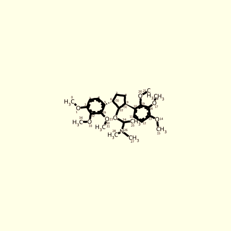 COc1ccc([C@@H]2CC[C@@H](c3ccc(OC)c(OC)c3OC)C2OC(C)N(C)C)c(OC)c1OC